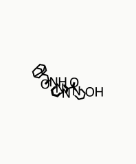 O=C(CC12CC3CC(CC(C3)C1)C2)Nc1cccc2nc(C(=O)N3CCCC(O)C3)cn12